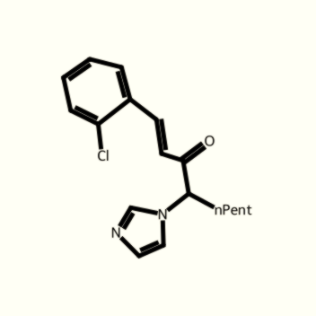 CCCCCC(C(=O)C=Cc1ccccc1Cl)n1ccnc1